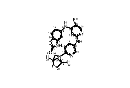 O=c1[nH]c2cc(Nc3nc(Nc4ccc(N5C[C@@H]6C[C@H]5CO6)nc4)ncc3F)ccc2o1